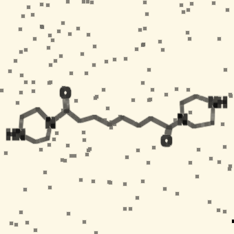 O=C(CCCCCCC(=O)N1CCNCC1)N1CCNCC1